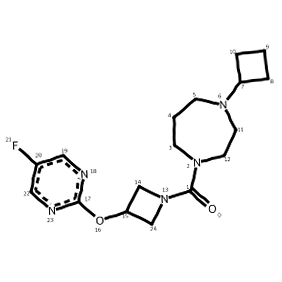 O=C(N1CCCN(C2CCC2)CC1)N1CC(Oc2ncc(F)cn2)C1